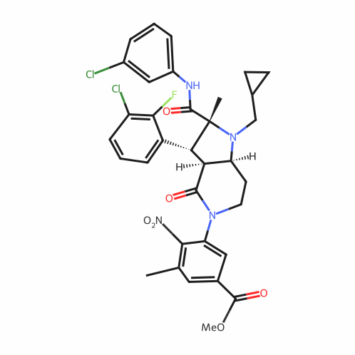 COC(=O)c1cc(C)c([N+](=O)[O-])c(N2CC[C@H]3[C@@H](C2=O)[C@H](c2cccc(Cl)c2F)[C@](C)(C(=O)Nc2cccc(Cl)c2)N3CC2CC2)c1